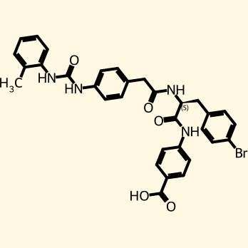 Cc1ccccc1NC(=O)Nc1ccc(CC(=O)N[C@@H](Cc2ccc(Br)cc2)C(=O)Nc2ccc(C(=O)O)cc2)cc1